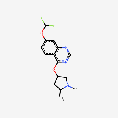 CCN1CC(Oc2ncnc3cc(OC(F)F)ccc23)CC1C